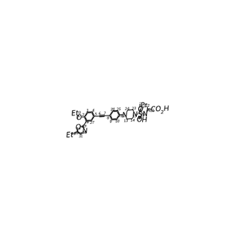 CCOc1ccc(C#Cc2ccc(N3CCN(S(=O)(=O)N[C@@H](C(=O)O)C(C)C)CC3)cc2)cc1-c1ncc(CC)o1